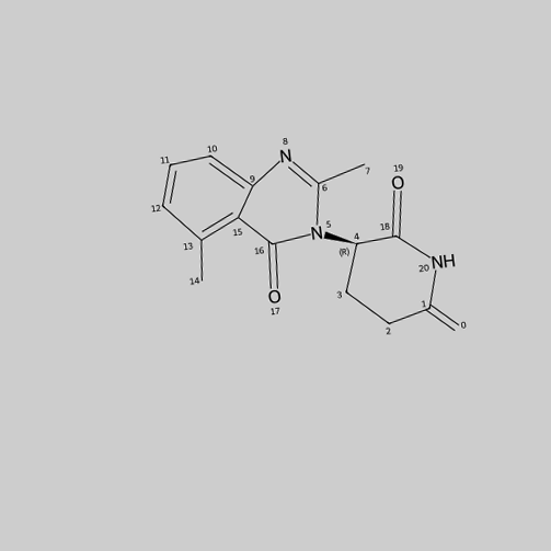 C=C1CC[C@@H](n2c(C)nc3cccc(C)c3c2=O)C(=O)N1